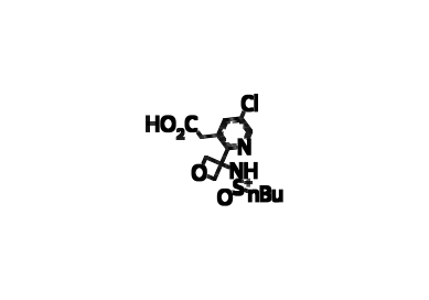 CCCC[S+]([O-])NC1(c2ncc(Cl)cc2CC(=O)O)COC1